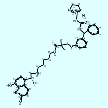 CC(C)(COc1cccc(C(NC(=O)O[C@H]2CN3CCC2CC3)c2ccccc2)c1)C(=O)OCCCCCNC[C@H](O)c1ccc(O)c2[nH]c(=O)ccc12